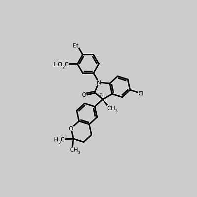 CCc1ccc(N2C(=O)[C@@](C)(c3ccc4c(c3)CCC(C)(C)O4)c3cc(Cl)ccc32)cc1C(=O)O